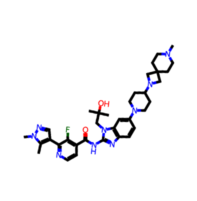 Cc1c(-c2nccc(C(=O)Nc3nc4ccc(N5CCC(N6CC7(CCN(C)CC7)C6)CC5)cc4n3CC(C)(C)O)c2F)cnn1C